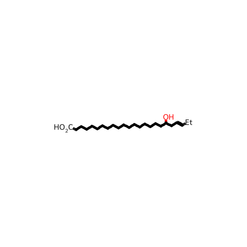 CCC=CCC(O)CCCCCCCCCCCCCCCCCC(=O)O